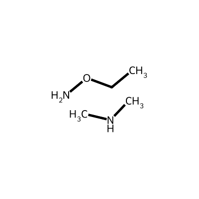 CCON.CNC